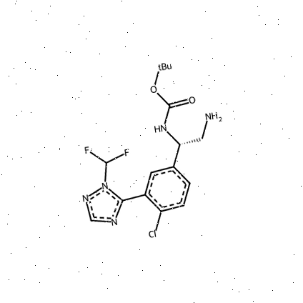 CC(C)(C)OC(=O)N[C@H](CN)c1ccc(Cl)c(-c2ncnn2C(F)F)c1